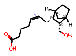 O=C(O)CCC/C=C\C[C@@H]1[C@@H]2CC[C@@H](C2)[C@@H]1CO